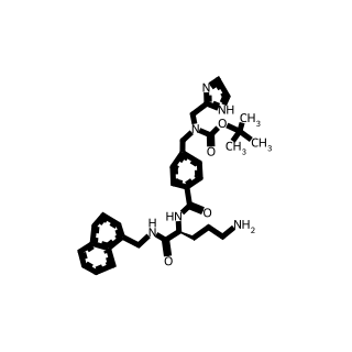 CC(C)(C)OC(=O)N(Cc1ccc(C(=O)N[C@@H](CCCN)C(=O)NCc2cccc3ccccc23)cc1)Cc1ncc[nH]1